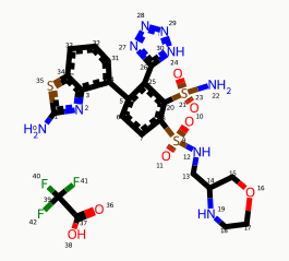 Nc1nc2c(-c3ccc(S(=O)(=O)NCC4COCCN4)c(S(N)(=O)=O)c3-c3nnn[nH]3)cccc2s1.O=C(O)C(F)(F)F